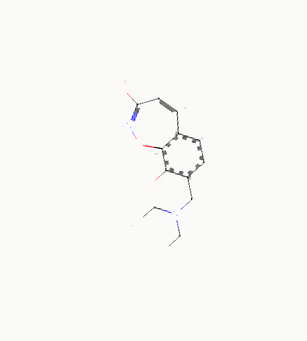 CCN(CC)Cc1ccc2c(c1O)ON=C(O)C=C2